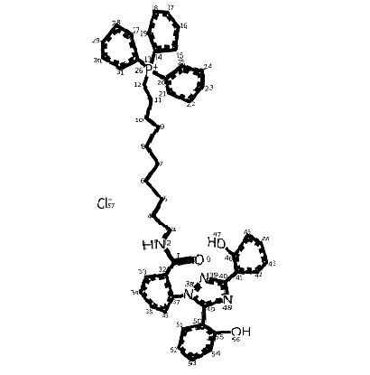 O=C(NCCCCCCCCCC[P+](c1ccccc1)(c1ccccc1)c1ccccc1)c1ccccc1-n1nc(-c2ccccc2O)nc1-c1ccccc1O.[Cl-]